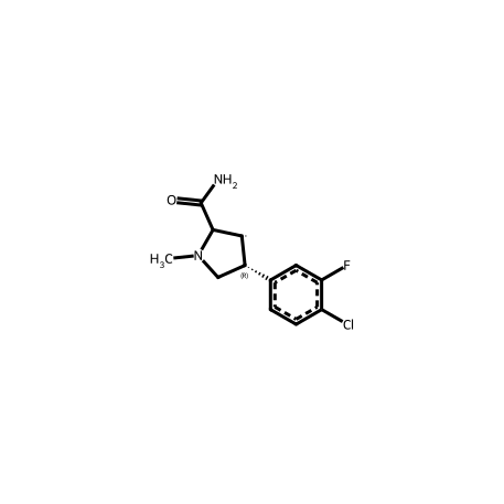 CN1C[C@@H](c2ccc(Cl)c(F)c2)[CH]C1C(N)=O